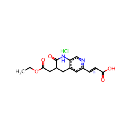 CCOC(=O)CC1Cc2cc(/C=C/C(=O)O)ncc2NC1=O.Cl